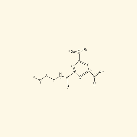 COCCNC(=O)c1cc([N+](=O)[O-])cc([N+](=O)[O-])c1